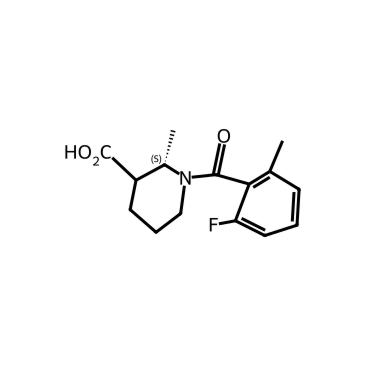 Cc1cccc(F)c1C(=O)N1CCCC(C(=O)O)[C@@H]1C